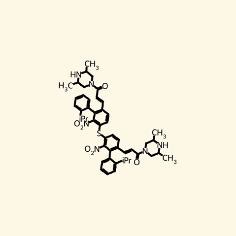 CC1CN(C(=O)/C=C/c2ccc(Sc3ccc(/C=C/C(=O)N4CC(C)NC(C)C4)c(-c4ccccc4C(C)C)c3[N+](=O)[O-])c([N+](=O)[O-])c2-c2ccccc2C(C)C)CC(C)N1